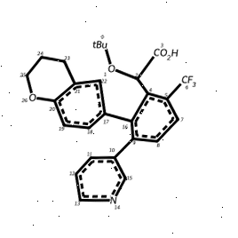 CC(C)(C)OC(C(=O)O)c1c(C(F)(F)F)ccc(-c2cccnc2)c1-c1ccc2c(c1)CCCO2